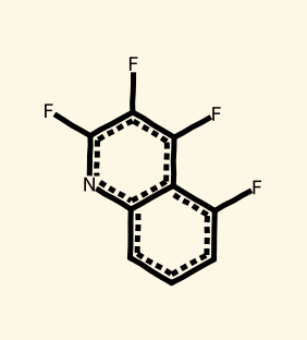 Fc1nc2cccc(F)c2c(F)c1F